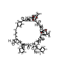 NCCCC[C@H]1CN(C(=O)CCc2ccccc2)CC(=O)N[C@@H](Cc2ccccc2)CN(CC(N)=O)C(=O)CCSCc2ccc(cc2)C(=O)N[C@@H](Cc2ccccc2)CN(C(=O)CC2CC2)CC(=O)N[C@@H](Cc2ccccc2)CN(C(=O)CC2CC2)CC(=O)N1